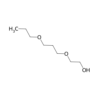 CCCOCCCOCCO